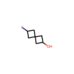 OC1CC2(C1)CC(I)C2